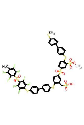 COS(=O)(=O)c1cc(S(=O)(=O)c2ccc(Sc3ccc(-c4ccc(Sc5c(F)c(F)c(S(=O)(=O)c6c(F)c(F)c(C)c(F)c6F)c(F)c5F)cc4)cc3)c(CS(=O)(=O)O)c2)ccc1Sc1ccc(-c2ccc(SC)cc2)cc1